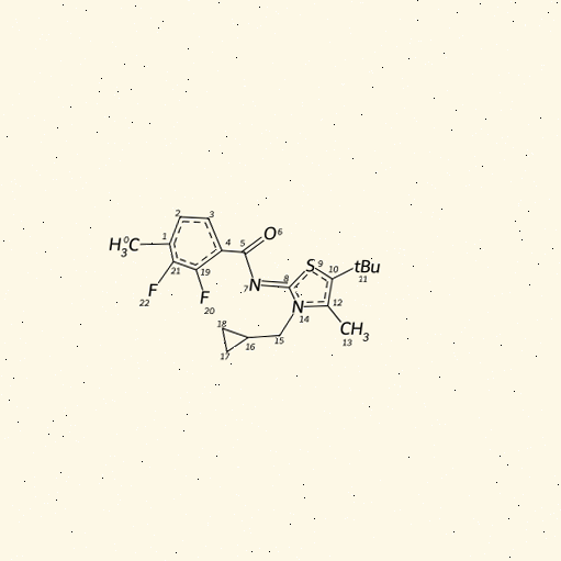 Cc1ccc(C(=O)/N=c2\sc(C(C)(C)C)c(C)n2CC2CC2)c(F)c1F